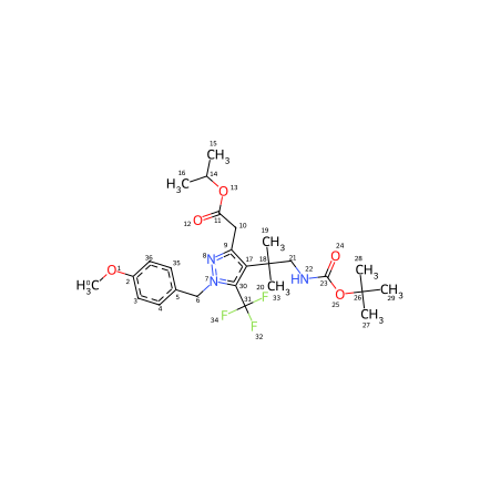 COc1ccc(Cn2nc(CC(=O)OC(C)C)c(C(C)(C)CNC(=O)OC(C)(C)C)c2C(F)(F)F)cc1